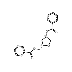 O=C(OC[C@@H]1C[C@H](OC(=O)c2ccccc2)CO1)c1ccccc1